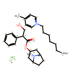 CCCCCCCCCCCCCCCC[n+]1ccc(C)cc1.CN1C2CCC1CC(OC(=O)C(CO)c1ccccc1)C2.Cl.[Cl-]